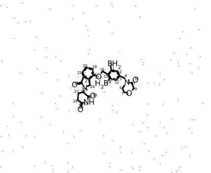 Bc1cc(CN2CCOCC2=O)cc(B)c1COc1cccc2c1CN(C1CCC(=O)NC1=O)C2=O